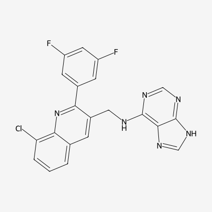 Fc1cc(F)cc(-c2nc3c(Cl)cccc3cc2CNc2ncnc3[nH]cnc23)c1